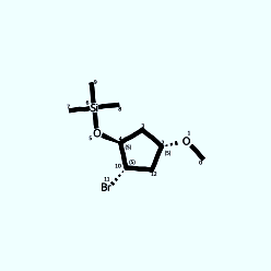 CO[C@H]1C[C@H](O[Si](C)(C)C)[C@@H](Br)C1